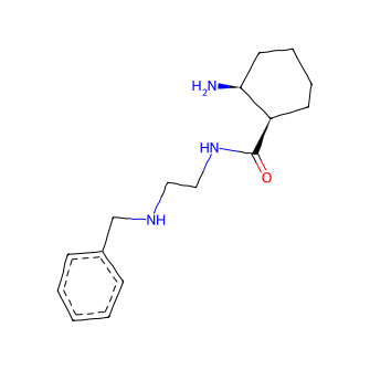 N[C@H]1CCCC[C@H]1C(=O)NCCNCc1ccccc1